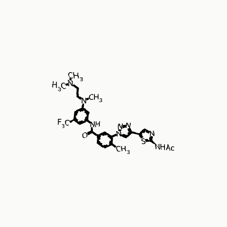 CC(=O)Nc1ncc(-c2cn(-c3cc(C(=O)Nc4cc(N(C)CCN(C)C)cc(C(F)(F)F)c4)ccc3C)nn2)s1